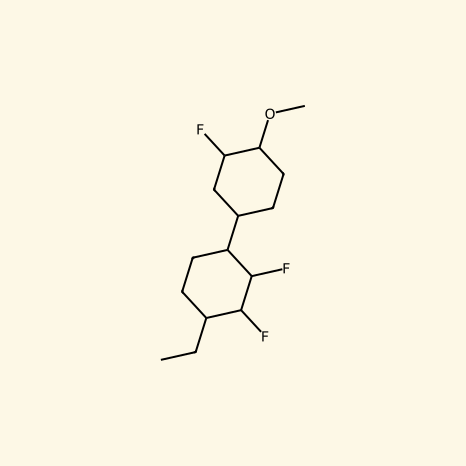 CCC1CCC(C2CCC(OC)C(F)C2)C(F)C1F